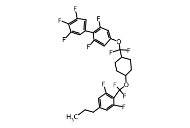 CCCc1cc(F)c(C(F)(F)OC2CCC(C(F)(F)Oc3cc(F)c(-c4cc(F)c(F)c(F)c4)c(F)c3)CC2)c(F)c1